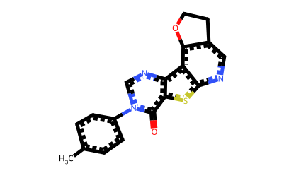 Cc1ccc(-n2cnc3c(sc4ncc5c(c43)OCC5)c2=O)cc1